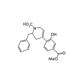 COC(=O)c1ccc(C2=CCN(C(=O)O)C(Cc3ccccc3)C2)c(O)c1